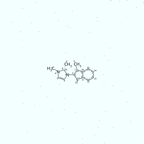 Cc1c(N2C=CN(C)[C@@H]2C)sc2ccccc12